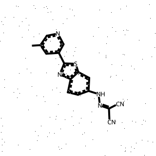 Cc1cncc(-c2nc3ccc(NN=C(C#N)C#N)cc3s2)c1